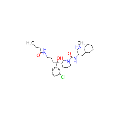 CCCC(=O)NCCCC(O)(c1cccc(Cl)c1)C1CCCN(C(=O)NC(CNC)CC2CCCCC2)C1